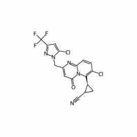 N#CC1C[C@@H]1c1c(Cl)ccc2nc(Cn3nc(C(F)(F)F)cc3Cl)cc(=O)n12